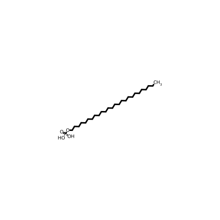 CCCCCCCCCCCCCCCCCCCCCCCCCCOP(=O)(O)O